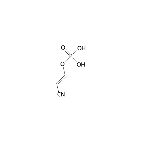 N#CC=COP(=O)(O)O